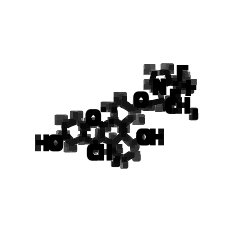 CC1=C(c2cccc(O)c2)C(c2ccc(OCC(C)N3CCCC3C(F)(F)F)cc2)Oc2ccc(O)cc21